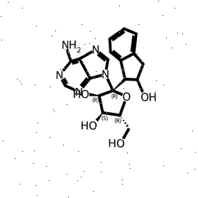 Nc1ncnc2c1ncn2[C@]1(C2c3ccccc3CC2O)O[C@H](CO)[C@@H](O)[C@H]1O